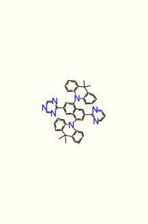 CC1(C)c2ccccc2N(c2cc(-c3ncncn3)cc3c(N4c5ccccc5C(C)(C)c5ccccc54)cc(-c4ncccn4)cc23)c2ccccc21